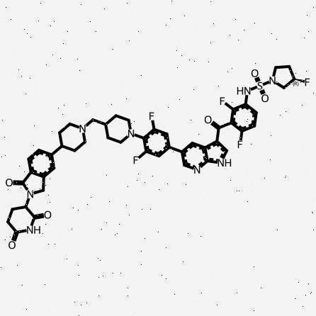 O=C1CCC(N2Cc3cc(C4CCN(CC5CCN(c6c(F)cc(-c7cnc8[nH]cc(C(=O)c9c(F)ccc(NS(=O)(=O)N%10CC[C@@H](F)C%10)c9F)c8c7)cc6F)CC5)CC4)ccc3C2=O)C(=O)N1